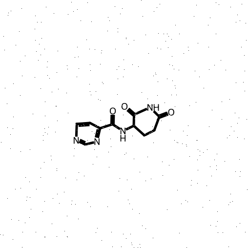 O=C1CCC(NC(=O)c2ccncn2)C(=O)N1